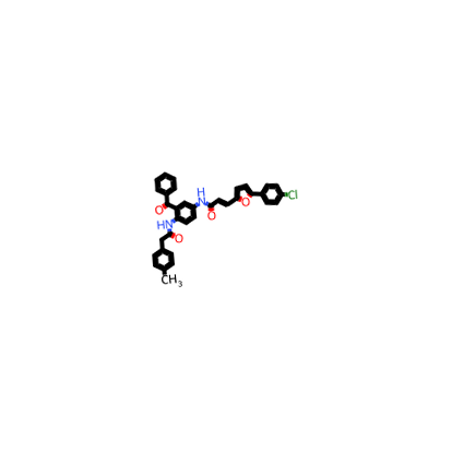 Cc1ccc(CC(=O)Nc2ccc(NC(=O)C=Cc3ccc(-c4ccc(Cl)cc4)o3)cc2C(=O)c2ccccc2)cc1